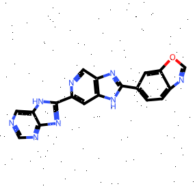 c1ncc2[nH]c(-c3cc4[nH]c(-c5ccc6ncoc6c5)nc4cn3)nc2n1